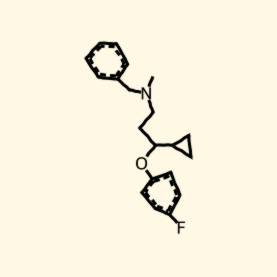 CN(CCC(Oc1ccc(F)cc1)C1CC1)Cc1ccccc1